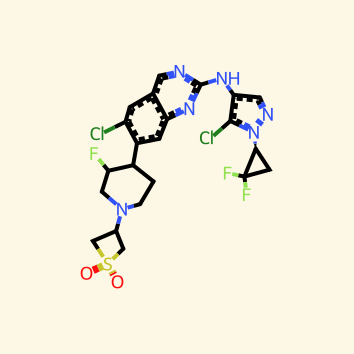 O=S1(=O)CC(N2CCC(c3cc4nc(Nc5cnn([C@@H]6CC6(F)F)c5Cl)ncc4cc3Cl)C(F)C2)C1